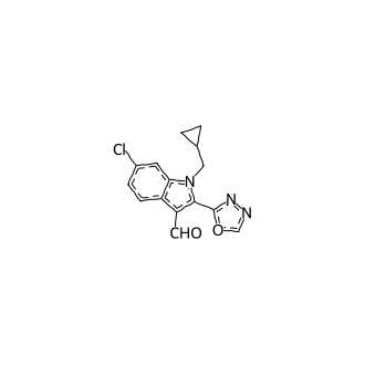 O=Cc1c(-c2nnco2)n(CC2CC2)c2cc(Cl)ccc12